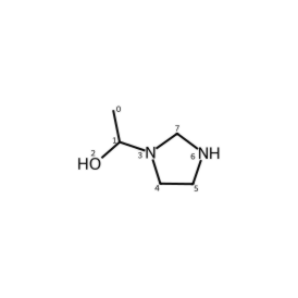 CC(O)N1CCNC1